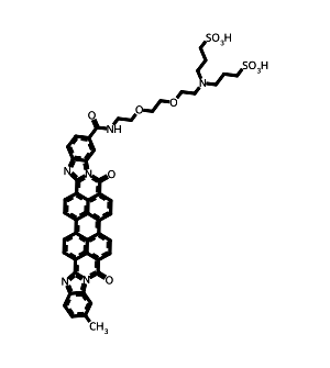 Cc1ccc2nc3c4ccc5c6ccc7c8c(ccc(c9ccc(c(=O)n3c2c1)c4c95)c68)c(=O)n1c2cc(C(=O)NCCOCCOCCN(CCCS(=O)(=O)O)CCCS(=O)(=O)O)ccc2nc71